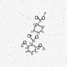 COC(=O)c1ccc(OC(=O)c2c(OC)cccc2OC)cc1